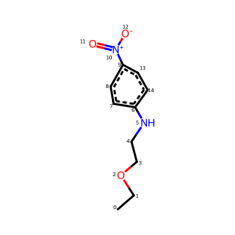 CCOCCNc1ccc([N+](=O)[O-])cc1